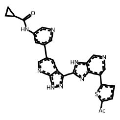 CC(=O)c1ccc(-c2cncc3[nH]c(-c4n[nH]c5ncc(-c6cncc(NC(=O)C7CC7)c6)cc45)nc23)s1